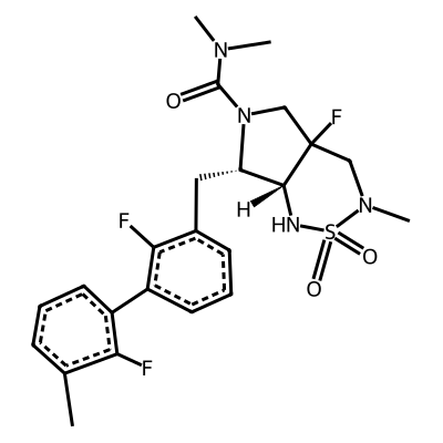 Cc1cccc(-c2cccc(C[C@H]3[C@H]4NS(=O)(=O)N(C)CC4(F)CN3C(=O)N(C)C)c2F)c1F